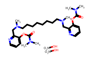 CN(CCCCCCCCN(C)Cc1ncccc1OC(=O)N(C)C)Cc1ncccc1OC(=O)N(C)C.O=[N+]([O-])O.O=[N+]([O-])O